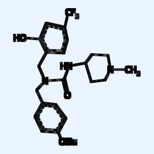 CC(C)COc1ccc(CN(Cc2ccc(C(F)(F)F)cc2O)C(=O)NC2CCN(C)CC2)cc1